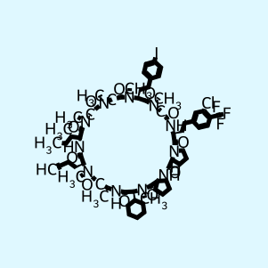 C#CCC[C@H]1C(=O)N[C@@H]([C@@H](C)CC)C(=O)N(C)CC(=O)N(C)CC(=O)N(C)[C@@H](CCc2ccc(I)cc2)C(=O)N(C)CC(=O)N[C@@H](CCc2ccc(C(F)(F)F)c(Cl)c2)C(=O)N2CCC[C@H]2C(=O)NC2(CCCC2)C(=O)N(C)[C@@H](C2CCCCC2)C(=O)N[C@H](C)CC(=O)N1C